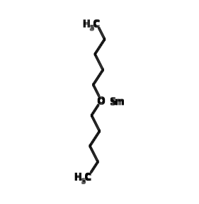 CCCCCOCCCCC.[Sm]